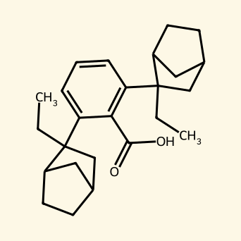 CCC1(c2cccc(C3(CC)CC4CCC3C4)c2C(=O)O)CC2CCC1C2